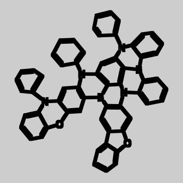 c1ccc(N2c3ccccc3Oc3cc4c(cc32)N(c2ccccc2)c2cc3c5c6c2B4c2cc4c(cc2N6c2ccccc2B5c2ccccc2N3c2ccccc2)oc2ccccc24)cc1